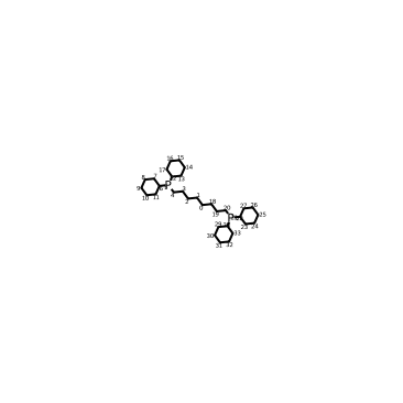 C(CCCCP(C1CCCCC1)C1CCCCC1)CCCP(C1CCCCC1)C1CCCCC1